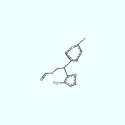 Cc1ncsc1C(COC=O)c1ccc(F)cc1